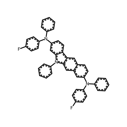 Fc1ccc(N(c2ccccc2)c2ccc3cc4c5ccc(N(c6ccccc6)c6ccc(F)cc6)cc5n(-c5ccccc5)c4cc3c2)cc1